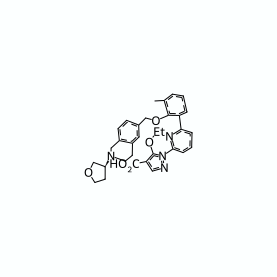 CCOc1c(C(=O)O)cnn1-c1cccc(-c2cccc(C)c2OCc2ccc3c(c2)CCN([C@H]2CCOC2)C3)n1